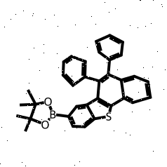 CC1(C)OB(c2ccc3sc4c5ccccc5c(-c5ccccc5)c(-c5ccccc5)c4c3c2)OC1(C)C